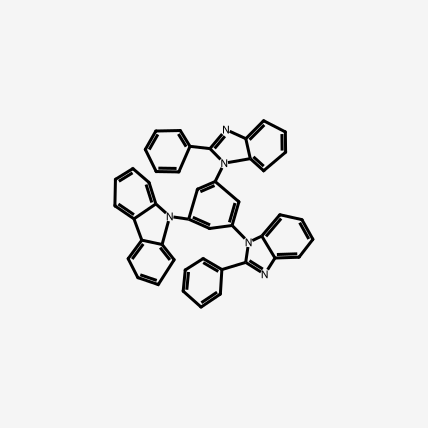 c1ccc(-c2nc3ccccc3n2-c2cc(-n3c(-c4ccccc4)nc4ccccc43)cc(-n3c4ccccc4c4ccccc43)c2)cc1